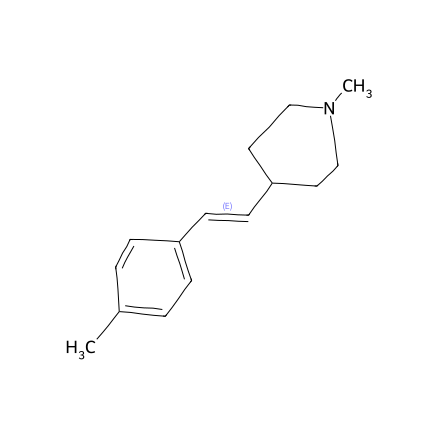 Cc1ccc(/C=C/C2CCN(C)CC2)cc1